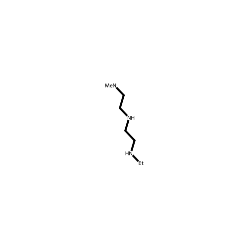 [CH2]CNCCNCCNC